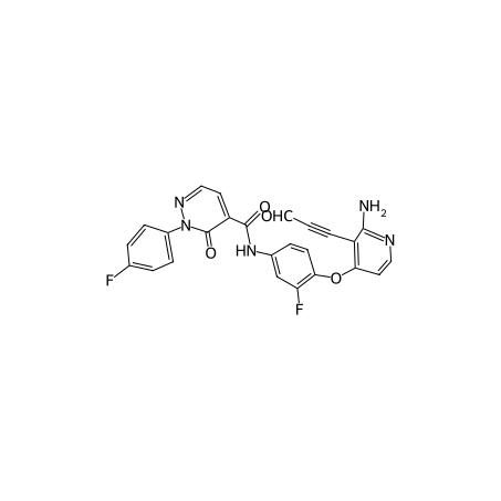 Nc1nccc(Oc2ccc(NC(=O)c3ccnn(-c4ccc(F)cc4)c3=O)cc2F)c1C#CC=O